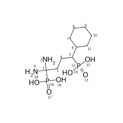 NC(N)(CCC(C1CCCCC1)P(=O)(O)O)P(=O)(O)O